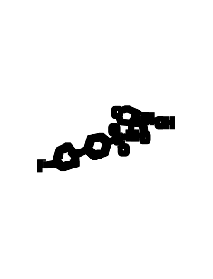 O=C(NO)C1(NS(=O)(=O)c2ccc(-c3ccc(F)cc3)cc2)CCOC1